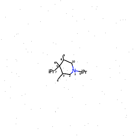 CC(C)N1CC(C)C(C)(C(C)C)C(C)C1